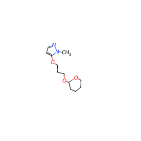 Cn1nccc1OCCCOC1CCCCO1